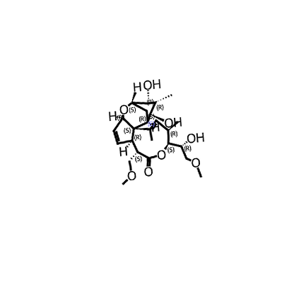 COC[C@@H](O)[C@H]1OC(=O)[C@H](COC)[C@H]2C=C[C@H]3O[C@H]4C[C@@H]([C@H](O)[C@@H](C)[C@H]4O)[C@]23/C(C)=C/[C@H]1C